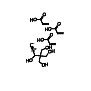 C=CC(=O)O.C=CC(=O)O.C=CC(=O)O.[C-]#[N+]C(O)C(CO)(CO)CO